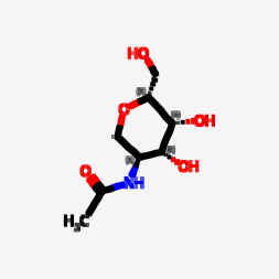 CC(=O)N[C@H]1[CH]O[C@H](CO)[C@H](O)[C@@H]1O